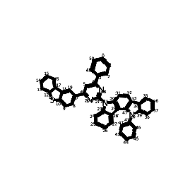 c1ccc(-c2cc(-c3ccc4sc5ccccc5c4c3)nc(-n3c4ccccc4c4c3ccc3c5ccccc5n(-c5ccccc5)c34)n2)cc1